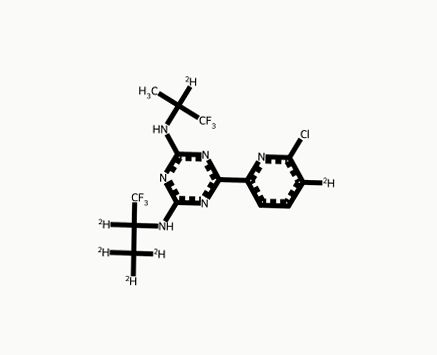 [2H]c1ccc(-c2nc(NC([2H])(C)C(F)(F)F)nc(NC([2H])(C([2H])([2H])[2H])C(F)(F)F)n2)nc1Cl